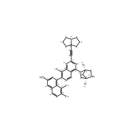 Oc1cc(-c2ncc3c(N4C[C@H]5C[C@@H]4CN5)nc(C#CC45CCCN4CCC5)nc3c2F)c2c(F)c(F)ccc2c1